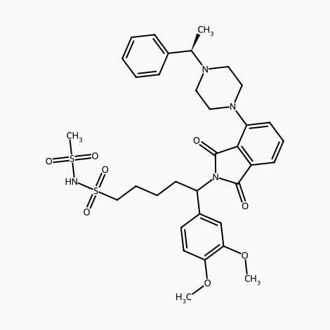 COc1ccc(C(CCCCS(=O)(=O)NS(C)(=O)=O)N2C(=O)c3cccc(N4CCN([C@H](C)c5ccccc5)CC4)c3C2=O)cc1OC